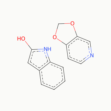 Oc1cc2ccccc2[nH]1.c1cc2c(cn1)OCO2